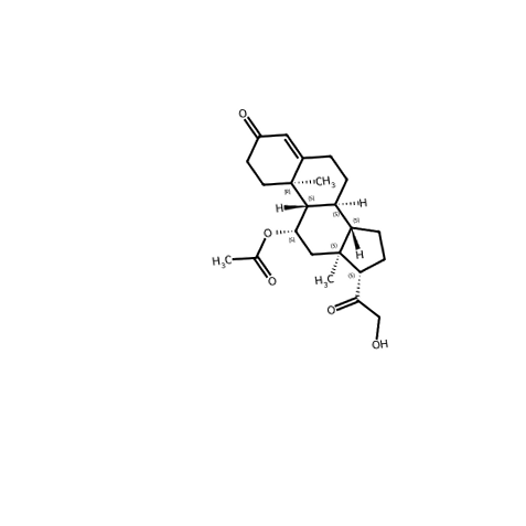 CC(=O)O[C@H]1C[C@]2(C)[C@@H](C(=O)CO)CC[C@H]2[C@@H]2CCC3=CC(=O)CC[C@]3(C)[C@H]21